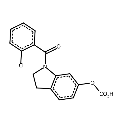 O=C(O)Oc1ccc2c(c1)N(C(=O)c1ccccc1Cl)CC2